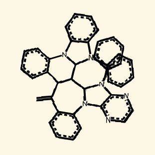 C=C1c2ccccc2N2c3nccnc3N(c3ccccc3)C2C2C1c1ccccc1N1c3ccccc3N(c3ccccc3)C21